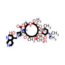 CO[C@]1(C)C[C@@H](C)C(=O)[C@H](C)[C@@H]2N(C3CN(Cc4c(O)cnc5cnccc45)C3)C(=O)O[C@]2(C)[C@@H](I)OC(=O)[C@H](C)C(=O)[C@H](C)[C@H]1O[C@@H]1O[C@H](C)C[C@H](N(C)C)[C@H]1O